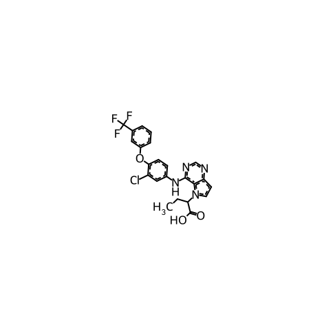 CCC(C(=O)O)n1ccc2ncnc(Nc3ccc(Oc4cccc(C(F)(F)F)c4)c(Cl)c3)c21